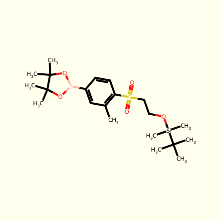 Cc1cc(B2OC(C)(C)C(C)(C)O2)ccc1S(=O)(=O)CCO[Si](C)(C)C(C)(C)C